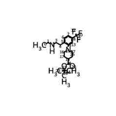 CCNCCc1ccc(C(F)(F)F)cc1N1CCC(C(=O)OC(C)(C)C)CC1